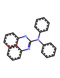 c1ccc([N]C(=Nc2ccccc2)N(c2ccccc2)c2ccccc2)cc1